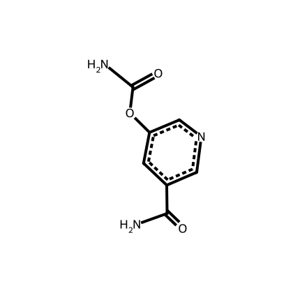 NC(=O)Oc1cncc(C(N)=O)c1